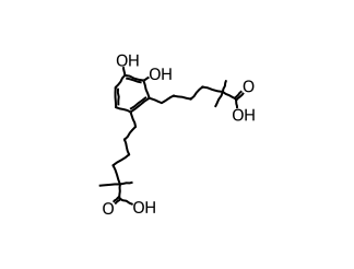 CC(C)(CCCCc1ccc(O)c(O)c1CCCCC(C)(C)C(=O)O)C(=O)O